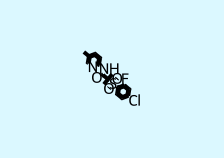 Cc1ccc(NC(=O)C(C)(C)S(=O)(=O)c2ccc(Cl)cc2F)nc1